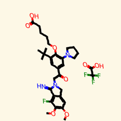 COc1cc2c(c(F)c1OC)C(=N)N(CC(=O)c1cc(N3CCCC3)c(OCCCCC(=O)O)c(C(C)(C)C)c1)C2.O=C(O)C(F)(F)F